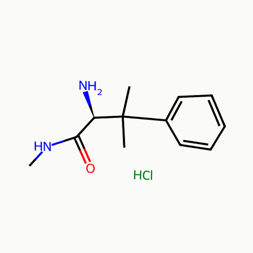 CNC(=O)[C@@H](N)C(C)(C)c1ccccc1.Cl